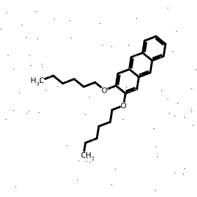 CCCCCCOc1cc2cc3ccccc3cc2cc1OCCCCCC